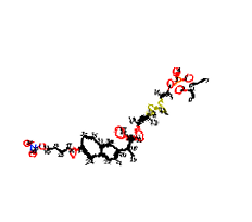 CCOP(=O)(OCC)OCCSSCCOC(=O)C(C)c1ccc2cc(OCCCCO[N+](=O)[O-])ccc2c1